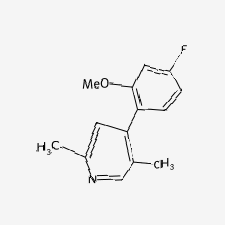 COc1cc(F)ccc1-c1cc(C)ncc1C